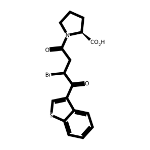 O=C(c1csc2ccccc12)C(Br)CC(=O)N1CCC[C@H]1C(=O)O